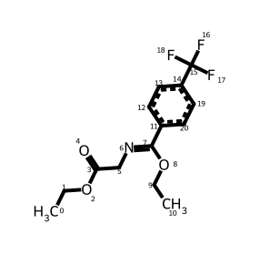 CCOC(=O)CN=C(OCC)c1ccc(C(F)(F)F)cc1